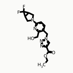 CCOC(=O)c1cn(Cc2ccc(N3CC4C(C3)C4(F)F)nc2CO)nn1